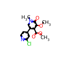 COC(=O)c1c(-c2ccnc(Cl)c2)cn(C)c(=O)c1OC